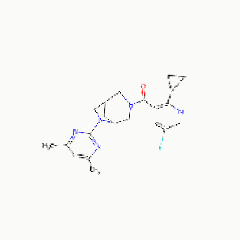 Cc1cc(C)nc(N2CC3CC2CN(C(=O)c2cc(F)cnc2C2CC2)C3)n1